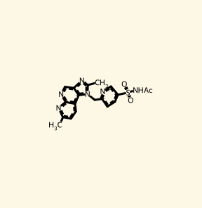 CC(=O)NS(=O)(=O)c1ccc(Cn2c(C)nc3cnc4nc(C)ccc4c32)nc1